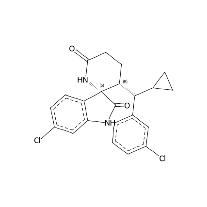 O=C1CC[C@H](C(c2cccc(Cl)c2)C2CC2)[C@@]2(N1)C(=O)Nc1cc(Cl)ccc12